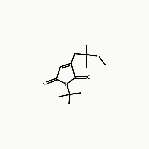 CSC(C)(C)CC1=CC(=O)N(C(C)(C)C)C1=O